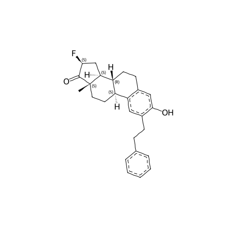 C[C@]12CC[C@@H]3c4cc(CCc5ccccc5)c(O)cc4CC[C@H]3[C@@H]1C[C@H](F)C2=O